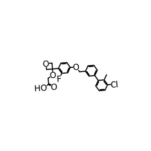 Cc1c(Cl)cccc1-c1cccc(COc2ccc(C3(OCC(=O)O)COC3)c(F)c2)c1